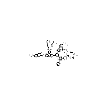 CCCCCCCCC1(CCCCCCCC)c2cc(C)ccc2-c2ccc(-c3cc(-c4ccc5c(c4)C(CCCCCCCC)(CCCCCCCC)c4cc(-c6ccc7cc8cc(C)ccc8cc7c6)ccc4-5)cc(-c4nc(-c5ccccc5)cc(-c5ccccc5)n4)c3)cc21